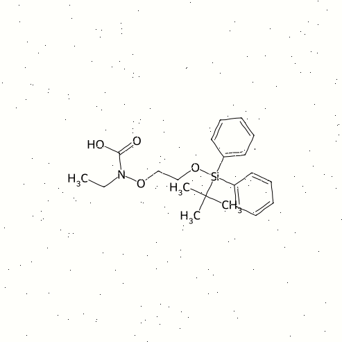 CCN(OCCO[Si](c1ccccc1)(c1ccccc1)C(C)(C)C)C(=O)O